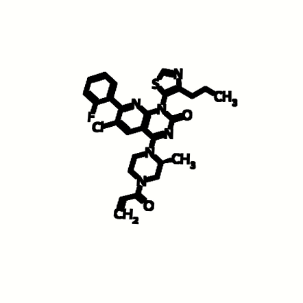 C=CC(=O)N1CCN(c2nc(=O)n(-c3scnc3CCC)c3nc(-c4ccccc4F)c(Cl)cc23)[C@@H](C)C1